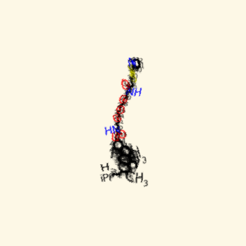 CC(C)CCC[C@@H](C)[C@H]1CC[C@H]2[C@@H]3CC=C4CC(OC(=O)NCCCOCCOCCOCCNC(=O)CCSSc5ccccn5)CC[C@]4(C)[C@H]3CC[C@]12C